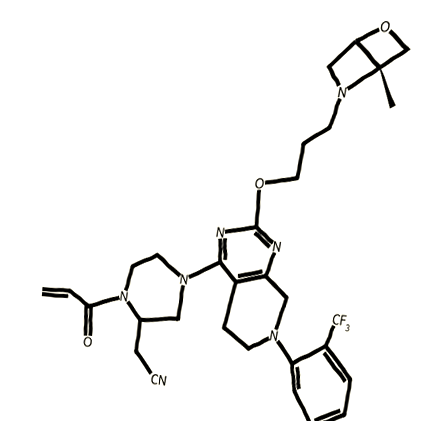 C=CC(=O)N1CCN(c2nc(OCCCN3CC4OC[C@@]43C)nc3c2CCN(c2ccccc2C(F)(F)F)C3)CC1CC#N